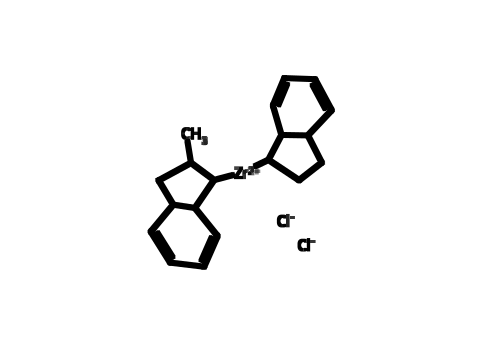 CC1CC2C=CC=CC2[CH]1[Zr+2][CH]1CCC2C=CC=CC21.[Cl-].[Cl-]